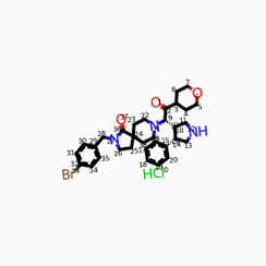 Cl.O=C(C1CCOCC1)C([C@@H]1CNC[C@@H]1c1ccccc1)N1CCC2(CCN(Cc3ccc(Br)cc3)C2=O)CC1